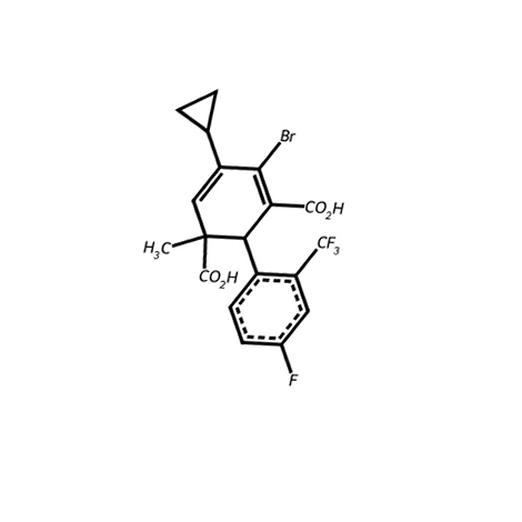 CC1(C(=O)O)C=C(C2CC2)C(Br)=C(C(=O)O)C1c1ccc(F)cc1C(F)(F)F